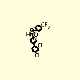 O=S(=O)(Nc1ccc(-c2ccc(Cl)cc2Cl)cn1)c1ccc(C(F)(F)F)cc1